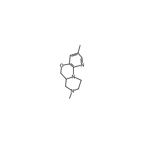 Cc1cnc2c(c1)OCC1CN(C)CCN21